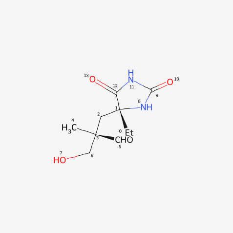 CC[C@]1(C[C@](C)(C=O)CO)NC(=O)NC1=O